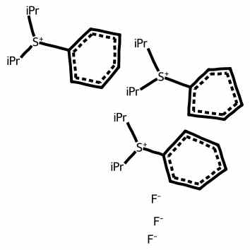 CC(C)[S+](c1ccccc1)C(C)C.CC(C)[S+](c1ccccc1)C(C)C.CC(C)[S+](c1ccccc1)C(C)C.[F-].[F-].[F-]